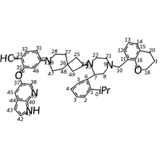 CC(C)c1ccccc1C1CN(Cc2cccc3c2OCCC3)CCN1C1CC2(CCN(c3ccc(C=O)c(Oc4cnc5[nH]ccc5c4)c3)CC2)C1